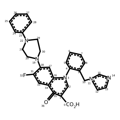 O=C(O)c1cn(-c2ccccc2Cn2ccnc2)c2cc(N3CCN(c4ccccc4)CC3)c(F)cc2c1=O